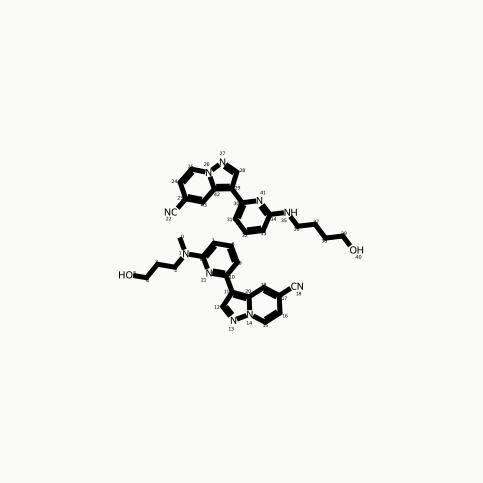 CN(CCCO)c1cccc(-c2cnn3ccc(C#N)cc23)n1.N#Cc1ccn2ncc(-c3cccc(NCCCCO)n3)c2c1